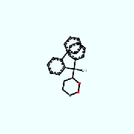 OC(c1ccccc1)(c1ccccc1-c1ccccc1)C12CCN(CC1)CC2